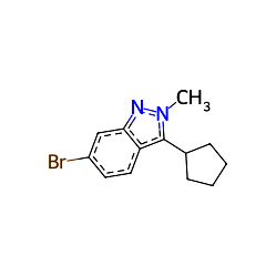 Cn1nc2cc(Br)ccc2c1C1CCCC1